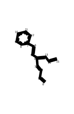 C=CC=CC(C=Cc1ccccc1)=CC=C